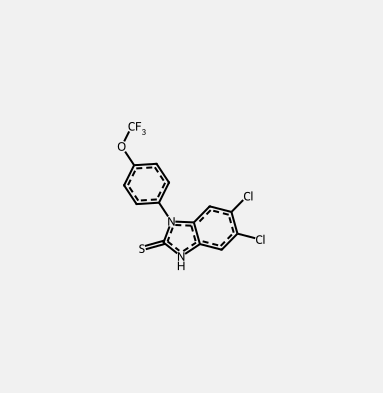 FC(F)(F)Oc1ccc(-n2c(=S)[nH]c3cc(Cl)c(Cl)cc32)cc1